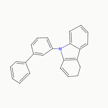 C1=Cc2c(c3ccccc3n2-c2cccc(-c3ccccc3)c2)CC1